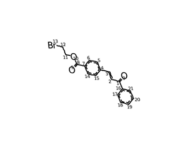 O=C(C=Cc1ccc(C(=O)OCCBr)cc1)c1ccccc1